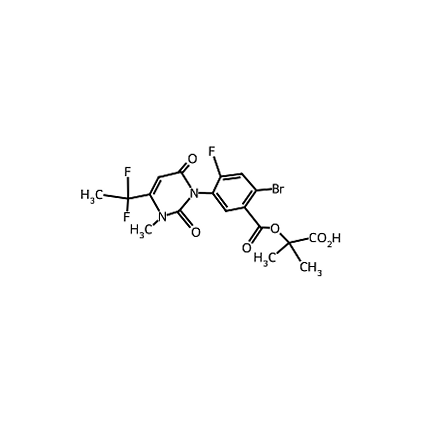 Cn1c(C(C)(F)F)cc(=O)n(-c2cc(C(=O)OC(C)(C)C(=O)O)c(Br)cc2F)c1=O